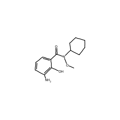 CON(C(=O)c1cccc(N)c1O)C1CCCCC1